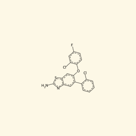 Nc1nc2cc(-c3ccccc3Cl)c(Oc3ccc(F)cc3Cl)cc2s1